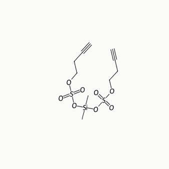 C#CCCOS(=O)(=O)O[Si](C)(C)OS(=O)(=O)OCCC#C